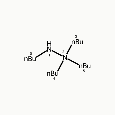 CCCCN[N+](CCCC)(CCCC)CCCC